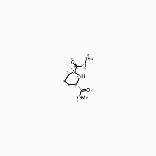 COC(=O)[C@@H]1CCCN(C(=O)OC(C)(C)C)N1